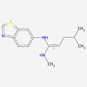 CN/C(=C/CC(C)C)Nc1ccc2ncsc2c1